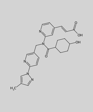 Cc1cnn(-c2ccc(CN(C(=O)C3CCC(O)CC3)c3cc(C=CC(=O)O)ccn3)cn2)c1